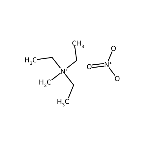 CC[N+](C)(CC)CC.O=[N+]([O-])[O-]